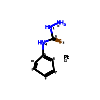 NNC(=S)Nc1ccccc1.[Pt]